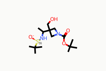 CC(N[S@+]([O-])C(C)(C)C)C1(CO)CN(C(=O)OC(C)(C)C)C1